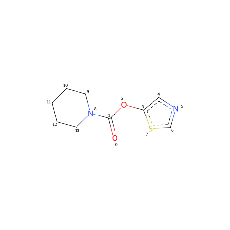 O=C(Oc1cncs1)N1CCCCC1